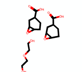 O=C(O)C1CCC2OC2C1.O=C(O)C1CCC2OC2C1.OCCOCCO